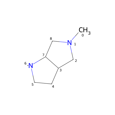 CN1CC2CC[N]C2C1